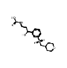 O=C(O)NCCC(O)c1cccc(S(=O)(=O)CC2CCOCC2)c1